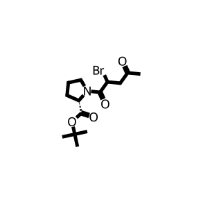 CC(=O)CC(Br)C(=O)N1CCC[C@H]1C(=O)OC(C)(C)C